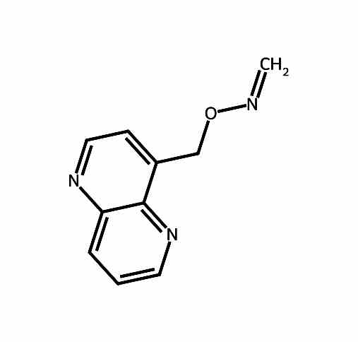 C=NOCc1ccnc2cccnc12